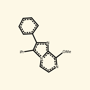 COc1nccn2c(C(C)C)c(-c3ccccc3)nc12